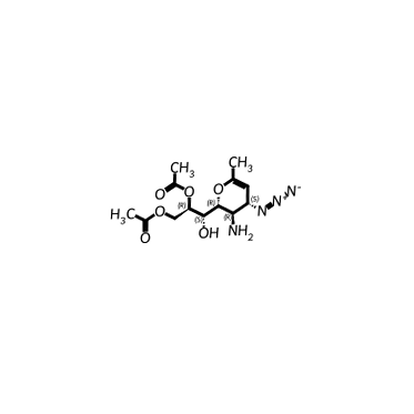 CC(=O)OC[C@@H](OC(C)=O)[C@@H](O)[C@@H]1OC(C)=C[C@H](N=[N+]=[N-])[C@H]1N